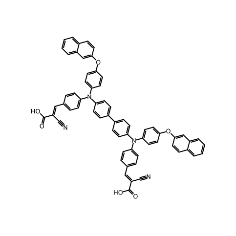 N#C/C(=C\c1ccc(N(c2ccc(Oc3ccc4ccccc4c3)cc2)c2ccc(-c3ccc(N(c4ccc(/C=C(\C#N)C(=O)O)cc4)c4ccc(Oc5ccc6ccccc6c5)cc4)cc3)cc2)cc1)C(=O)O